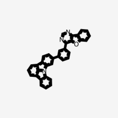 c1cc(-c2ccc3c4cccc5c6ccccc6n(c3c2)c54)cc(-c2ncnc3c2oc2ccccc23)c1